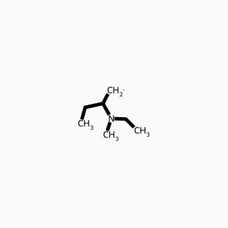 [CH2]C(CC)N(C)CC